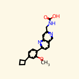 COc1cc(C2CCC2)ccc1-c1ccc2cnc(CNC(=O)O)cc2n1